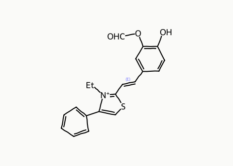 CC[n+]1c(-c2ccccc2)csc1/C=C/c1ccc(O)c(OC=O)c1